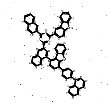 c1ccc2cc(-c3nc(-c4cc(-c5ccc(-c6ccc(-c7cccc8ccccc78)cc6)c6oc7ccccc7c56)c5ccccc5c4)nc(-c4ccc5sc6ccccc6c5c4)n3)ccc2c1